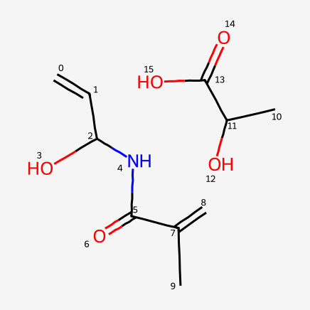 C=CC(O)NC(=O)C(=C)C.CC(O)C(=O)O